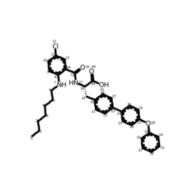 CCCCCCCNc1ccc(Cl)cc1C(=O)N[C@@H](Cc1ccc(-c2ccc(Oc3ccccc3)cc2)cc1)C(=O)O